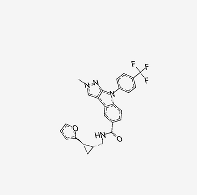 Cn1cc2c3cc(C(=O)NC[C@@H]4C[C@H]4c4ccco4)ccc3n(-c3ccc(C(F)(F)F)cc3)c2n1